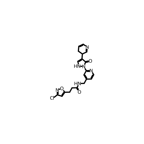 O=C(CCc1cc(Cl)no1)NCc1ccnc(-n2[nH]cc(C3C=NC=CC3)c2=O)c1